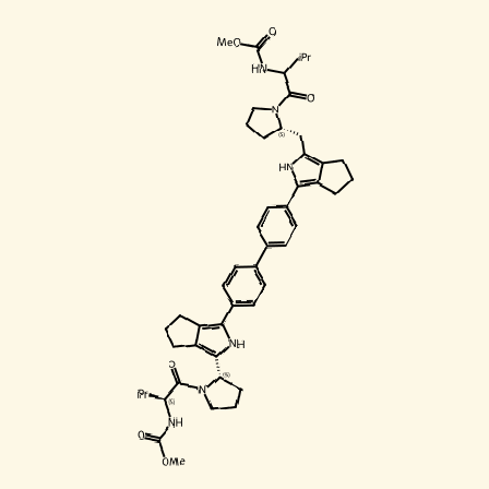 COC(=O)NC(C(=O)N1CCC[C@H]1Cc1[nH]c(-c2ccc(-c3ccc(-c4[nH]c([C@@H]5CCCN5C(=O)[C@@H](NC(=O)OC)C(C)C)c5c4CCC5)cc3)cc2)c2c1CCC2)C(C)C